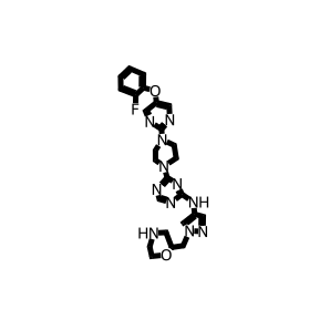 Fc1ccccc1Oc1cnc(N2CCN(c3ncnc(Nc4cnn(CC5CNCCO5)c4)n3)CC2)nc1